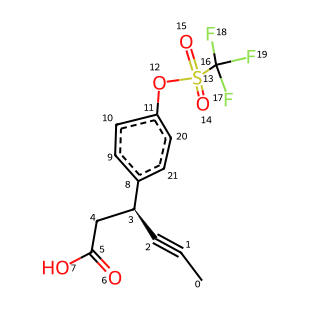 CC#C[C@@H](CC(=O)O)c1ccc(OS(=O)(=O)C(F)(F)F)cc1